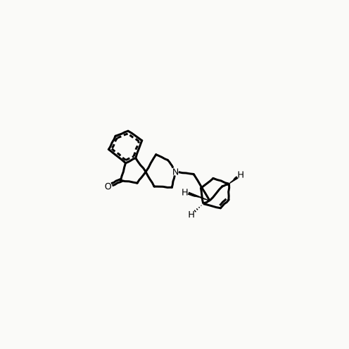 O=C1CC2(CCN(C[C@@H]3C[C@H]4C=C[C@H]3CC4)CC2)c2ccccc21